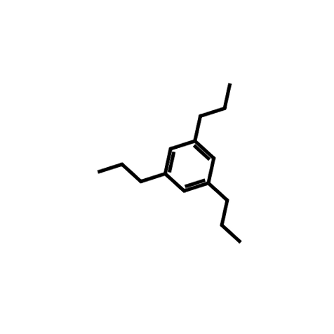 CCCc1cc(CCC)cc(CCC)c1